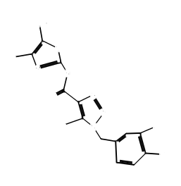 Cc1nc(NC(=O)c2nnn(Cc3ccc(Cl)c(Cl)c3)c2C)sc1C=O